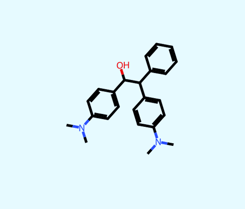 CN(C)c1ccc(C(O)C(c2ccccc2)c2ccc(N(C)C)cc2)cc1